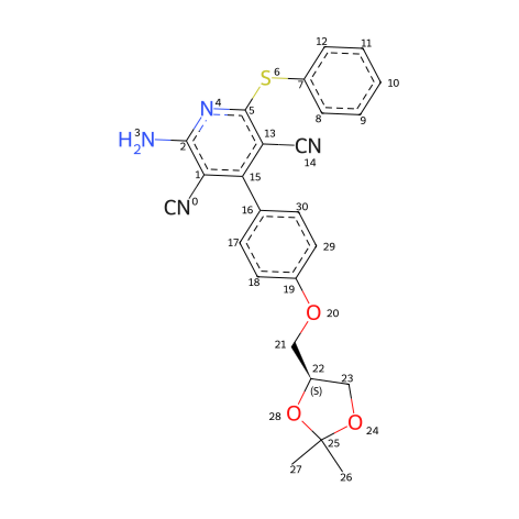 [C-]#[N+]c1c(N)nc(Sc2ccccc2)c(C#N)c1-c1ccc(OC[C@H]2COC(C)(C)O2)cc1